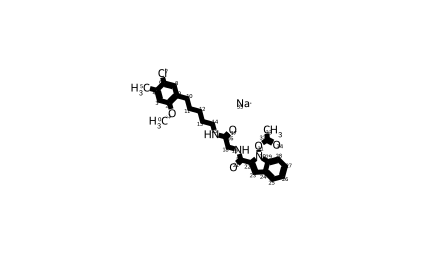 COc1cc(C)c(Cl)cc1CCCCCNC(=O)CNC(=O)c1cc2ccccc2n1OC(C)=O.[Na]